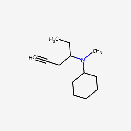 C#CCC(CC)N(C)C1CCCCC1